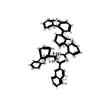 c1ccc2cc(C3=NC(c4cccc5oc6c(-c7cccc8sc9ccccc9c78)cccc6c45)NC(c4cccc5c4sc4ccccc45)N3)ccc2c1